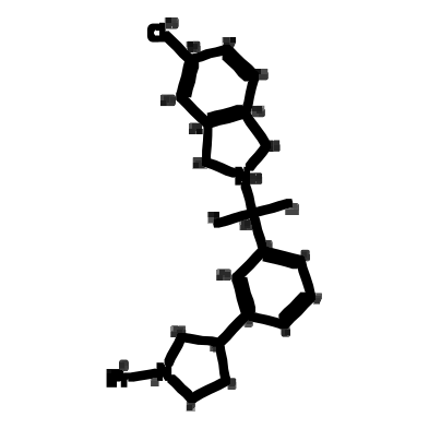 CC(C)N1CCC(c2cccc(C(C)(C)N3Cc4ccc(Cl)cc4C3)c2)C1